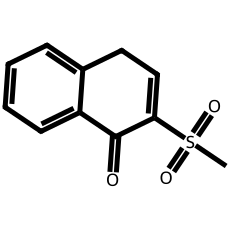 CS(=O)(=O)C1=CCc2ccccc2C1=O